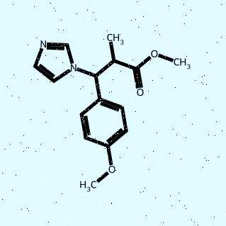 COC(=O)C(C)C(c1ccc(OC)cc1)n1ccnc1